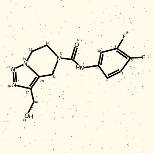 O=C(Nc1ccc(F)c(F)c1)N1CCn2nnc(CO)c2C1